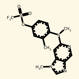 Cc1cc(OS(=O)(=O)C(F)(F)F)ccc1N(C)c1cc2c(cn1)ncn2C